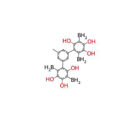 Bc1c(O)c(O)c(B)c(-c2cc(C)cc(-c3c(B)c(O)c(O)c(B)c3O)c2)c1O